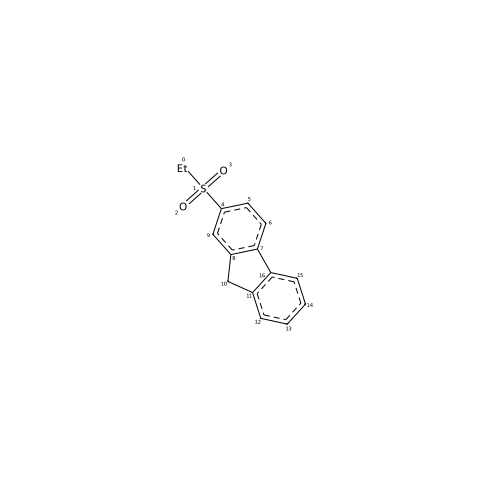 CCS(=O)(=O)c1ccc2c(c1)Cc1ccccc1-2